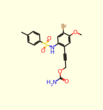 COc1cc(C#CCOC(N)=O)c(NS(=O)(=O)c2ccc(C)cc2)cc1Br